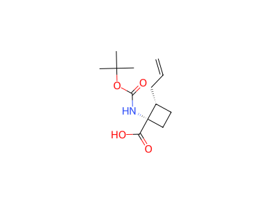 C=CC[C@@H]1CC[C@@]1(NC(=O)OC(C)(C)C)C(=O)O